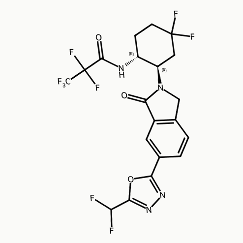 O=C1c2cc(-c3nnc(C(F)F)o3)ccc2CN1[C@@H]1CC(F)(F)CC[C@H]1NC(=O)C(F)(F)C(F)(F)F